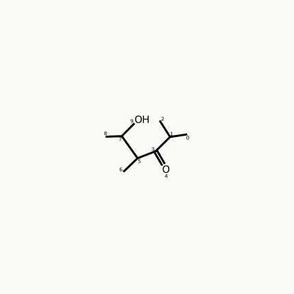 CC(C)C(=O)C(C)C(C)O